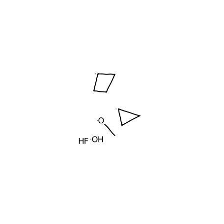 C[O].F.[CH]1CC1.[CH]1CCC1.[OH]